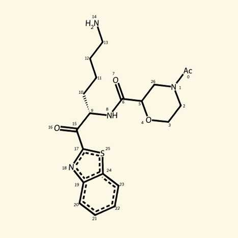 CC(=O)N1CCOC(C(=O)N[C@@H](CCCCN)C(=O)c2nc3ccccc3s2)C1